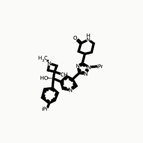 CC(C)c1ccc([C@](O)(c2cncc(-c3nc(C4CCNC(=O)C4)n(C(C)C)n3)c2)C2(C)CN(C)C2)cc1